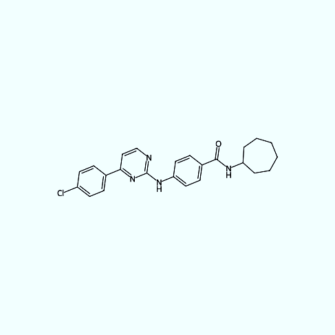 O=C(NC1CCCCCC1)c1ccc(Nc2nccc(-c3ccc(Cl)cc3)n2)cc1